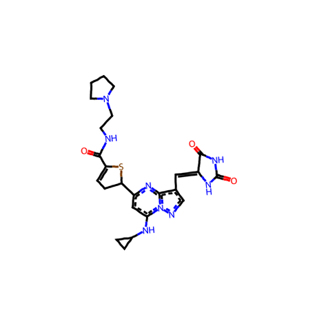 O=C1NC(=O)/C(=C/c2cnn3c(NC4CC4)cc(C4CC=C(C(=O)NCCN5CCCC5)S4)nc23)N1